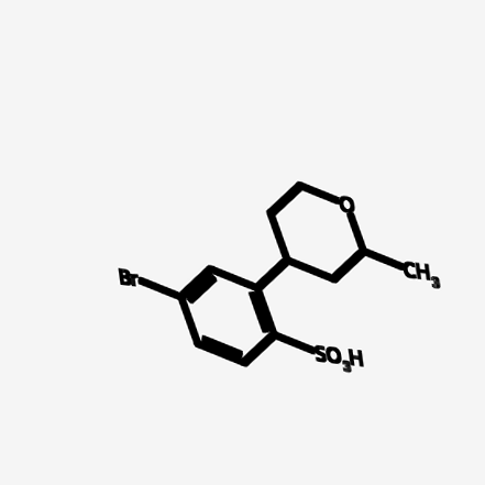 CC1CC(c2cc(Br)ccc2S(=O)(=O)O)CCO1